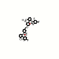 Cc1cccc(-n2cnc3cc(COc4cc(F)c(-c5c(C)cccc5-n5cnc6cc(F)cc(F)c65)c(F)c4)ccc32)c1-c1ccc(F)cc1Cl